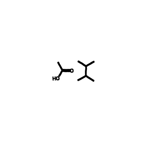 CC(=O)O.CC(C)C(C)C